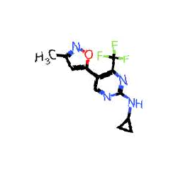 Cc1cc(-c2cnc(NC3CC3)nc2C(F)(F)F)on1